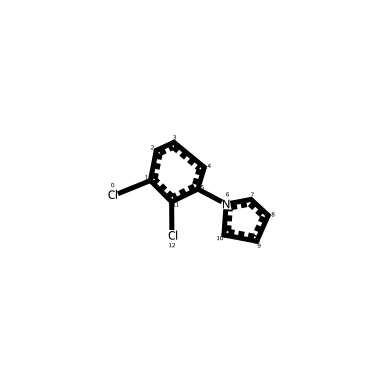 Clc1cccc(-n2cccc2)c1Cl